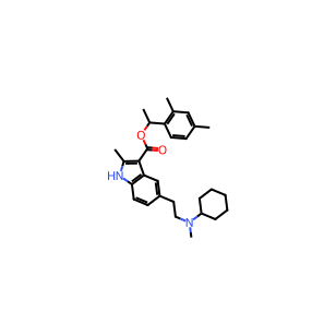 Cc1ccc(C(C)OC(=O)c2c(C)[nH]c3ccc(CCN(C)C4CCCCC4)cc23)c(C)c1